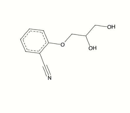 N#Cc1ccccc1OCC(O)CO